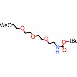 COCCOCCOCCOCCNC(=O)OC(C)(C)C